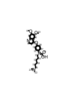 COc1cc2nccc(Oc3ccc(N(CCCCCCN(C)C)C(=O)O)cc3)c2cc1OC